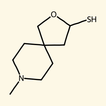 CN1CCC2(CC1)COC(S)C2